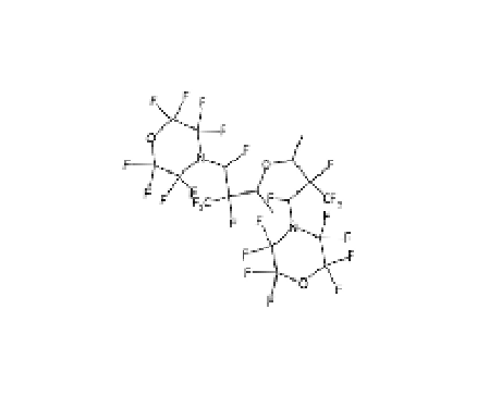 CC(OC(C)C(F)(C(F)N1C(F)(F)C(F)(F)OC(F)(F)C1(F)F)C(F)(F)F)C(F)(C(F)N1C(F)(F)C(F)(F)OC(F)(F)C1(F)F)C(F)(F)F